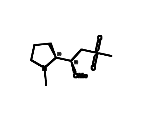 CO[C@H](CS(C)(=O)=O)[C@@H]1CCCN1I